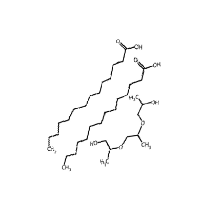 CC(O)COC(C)COC(C)CO.CCCCCCCCCCCCCC(=O)O.CCCCCCCCCCCCCC(=O)O